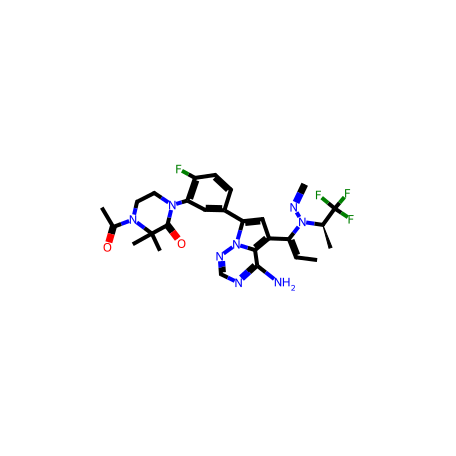 C=NN(/C(=C\C)c1cc(-c2ccc(F)c(N3CCN(C(C)=O)C(C)(C)C3=O)c2)n2ncnc(N)c12)[C@H](C)C(F)(F)F